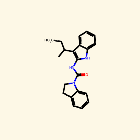 CC(CC(=O)O)c1c(NC(=O)N2CCc3ccccc32)[nH]c2ccccc12